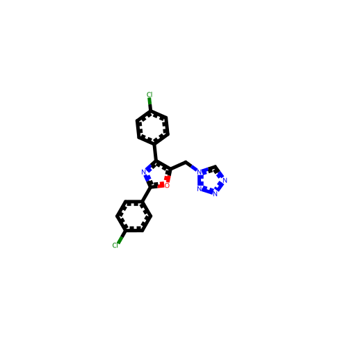 Clc1ccc(-c2nc(-c3ccc(Cl)cc3)c(Cn3cnnn3)o2)cc1